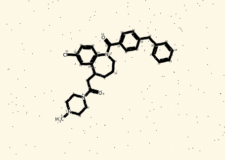 CN1CCN(C(=O)CC2CCCN(C(=O)c3ccc(Cc4ccccc4)cc3)c3ccc(Cl)cc32)CC1